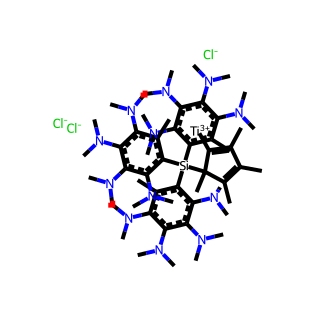 CC1=C(C)C(C)([Si](c2c(C)c(N(C)C)c(N(C)C)c(N(C)C)c2N(C)C)(c2c(C)c(N(C)C)c(N(C)C)c(N(C)C)c2N(C)C)c2c(C)c(N(C)C)c(N(C)C)c(N(C)C)c2N(C)C)[C]([Ti+3])=C1C.[Cl-].[Cl-].[Cl-]